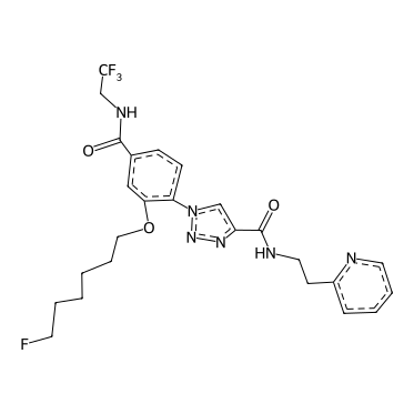 O=C(NCC(F)(F)F)c1ccc(-n2cc(C(=O)NCCc3ccccn3)nn2)c(OCCCCCCF)c1